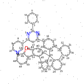 c1ccc(-c2nc(-c3cccnc3)cc(-c3ccc4c(c3)C3(c5ccccc5-c5ccccc5-4)c4ccccc4-c4c3ccc3oc5ccccc5c43)n2)cc1